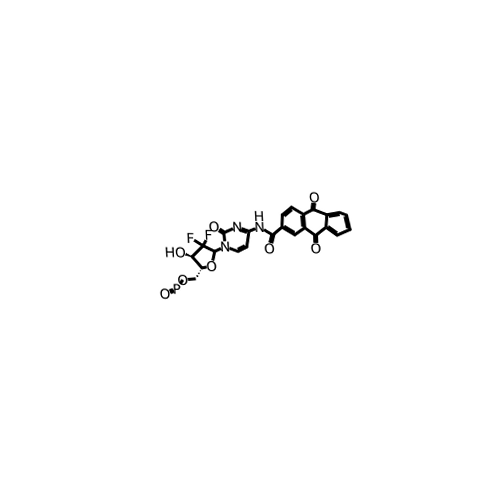 O=POC[C@H]1OC(n2ccc(NC(=O)c3ccc4c(c3)C(=O)c3ccccc3C4=O)nc2=O)C(F)(F)[C@@H]1O